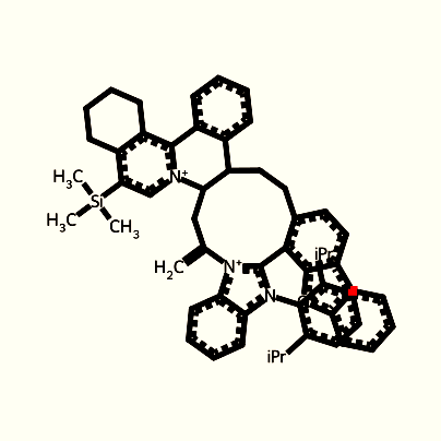 C=C1CC2C(CCc3ccc4c(oc5ccccc54)c3-c3n(-c4c(C(C)C)cccc4C(C)C)c4ccccc4[n+]31)c1ccccc1-c1c3c(c([Si](C)(C)C)c[n+]12)CCCC3